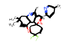 CC(C)c1nc2c(c3c1[C@H](c1ccc(C(F)(F)F)cn1)OC31CCC(F)(F)CC1)C(O)CC(C)(C)C2